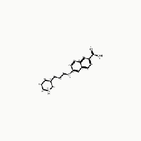 O=C(O)c1ccc2cc(OCCCC3CCCNC3)ccc2c1